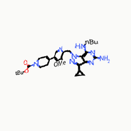 CCCCNc1nc(N)nc2c(C3CC3)nn(Cc3ncc(C4=CCN(C(=O)OC(C)(C)C)CC4)cc3OC)c12